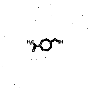 CC(=O)N1CCCN(SS)CC1